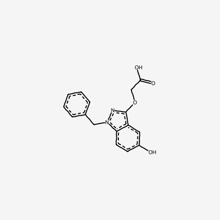 O=C(O)COc1nn(Cc2ccccc2)c2ccc(O)cc12